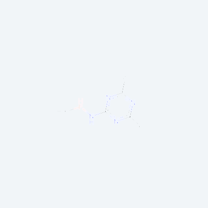 CPNc1nc(C)nc(C)n1